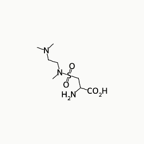 CN(C)CCN(C)S(=O)(=O)CC(N)C(=O)O